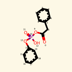 O=C(Cc1ccccc1)OP(=O)(O)Oc1ccccc1